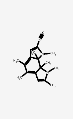 [C-]#[N+]C1=CC2=C(C)C(C)=C3C=C(C)N(C)C3(C)C2(C)N1C